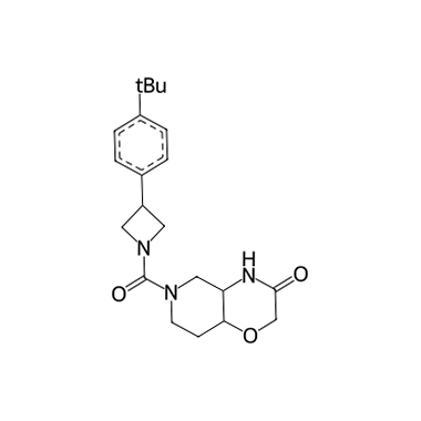 CC(C)(C)c1ccc(C2CN(C(=O)N3CCC4OCC(=O)NC4C3)C2)cc1